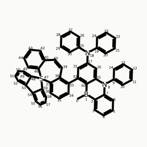 CB1c2ccccc2N(c2ccccc2)c2cc(N(c3ccccc3)c3ccccc3)cc(-c3cccc4c3C=Cc3ccccc3S43c4ccccc4-c4ccccc43)c21